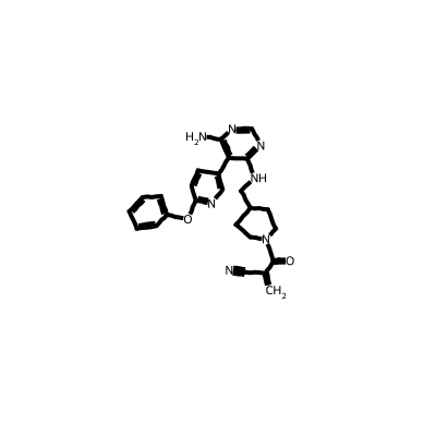 C=C(C#N)C(=O)N1CCC(CNc2ncnc(N)c2-c2ccc(Oc3ccccc3)nc2)CC1